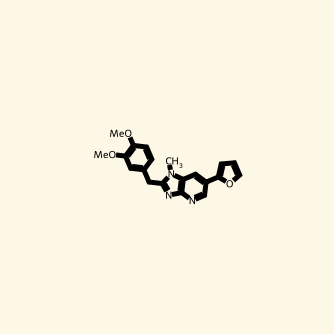 COc1ccc(Cc2nc3ncc(-c4ccco4)cc3n2C)cc1OC